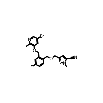 Cc1ncc(Br)cc1OCc1cc(F)ccc1COCc1cc(C#N)n(C)n1